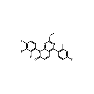 CSc1nc(-c2ccc(F)cc2C)c2ccc(=O)n(-c3ccc(F)c(F)c3F)c2n1